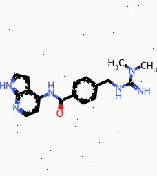 CN(C)C(=N)NCc1ccc(C(=O)Nc2ccnc3[nH]ccc23)cc1